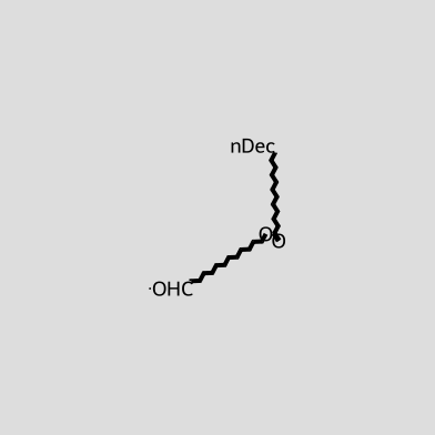 CCCCCCCCCCCCCCCCCCCCCC(=O)OCCCCCCCCCCCC[C]=O